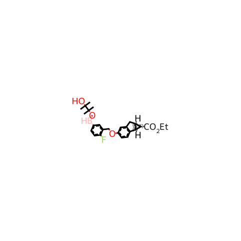 CCOC(=O)[C@H]1[C@@H]2Cc3cc(OCc4cc(BOC(C)(C)C(C)(C)O)ccc4F)ccc3[C@@H]21